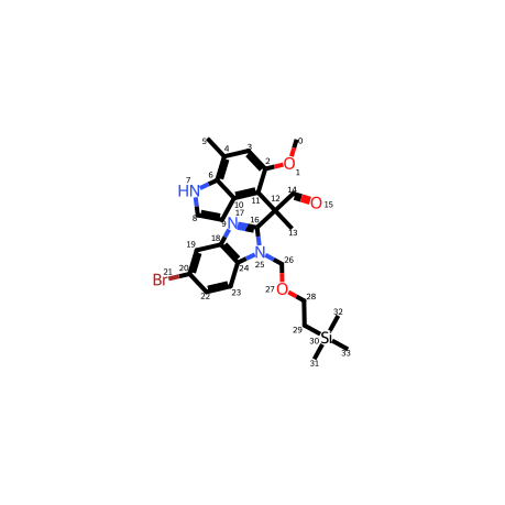 COc1cc(C)c2[nH]ccc2c1C(C)(C=O)c1nc2cc(Br)ccc2n1COCC[Si](C)(C)C